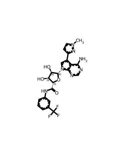 Cn1ccc(-c2cn([C@@H]3O[C@H](C(=O)Nc4cccc(C(F)(F)F)c4)[C@@H](O)[C@H]3O)c3ncnc(N)c23)n1